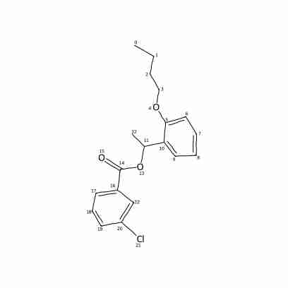 CCCCOc1ccccc1C(C)OC(=O)c1cccc(Cl)c1